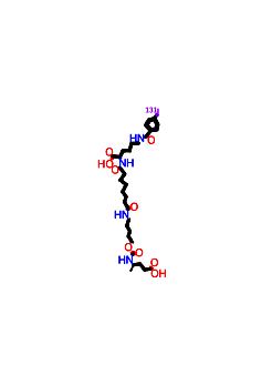 C[C@H](CCC(=O)O)NC(=O)OCCCCCNC(=O)CCCCCCC(=O)NC(CCCCNC(=O)c1ccc([131I])cc1)C(=O)O